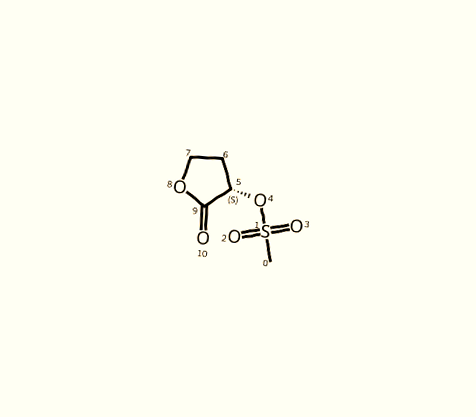 CS(=O)(=O)O[C@H]1CCOC1=O